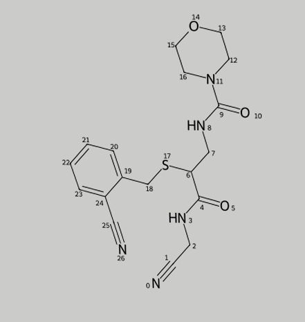 N#CCNC(=O)C(CNC(=O)N1CCOCC1)SCc1ccccc1C#N